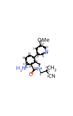 C=C(C#N)CN1Cc2c(-c3cncc(OC)c3)ccc(N)c2C1=O